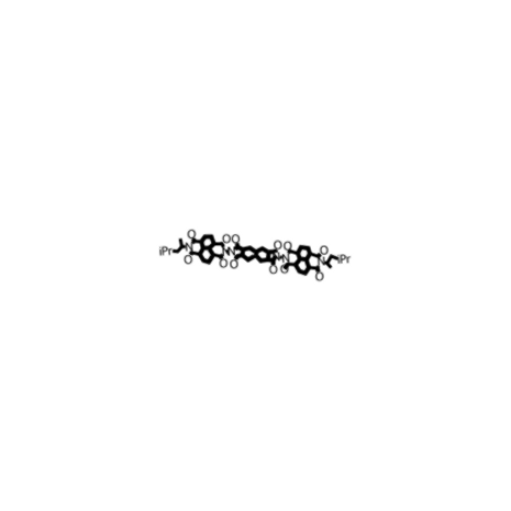 CC(C)CC(C)N1C(=O)c2ccc3c4c(ccc(c24)C1=O)C(=O)N(n1c(=O)c2cc4cc5c(=O)n(N6C(=O)c7ccc8c9c(ccc(c79)C6=O)C(=O)N(C(C)CC(C)C)C8=O)c(=O)c5cc4cc2c1=O)C3=O